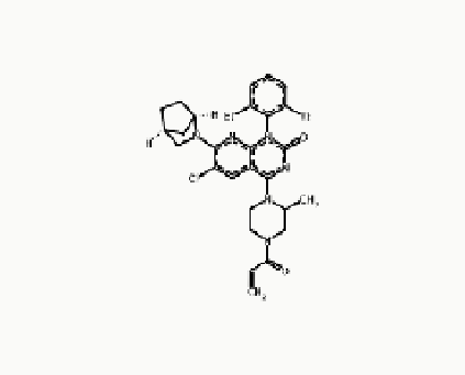 C=CC(=O)N1CCN(c2nc(=O)n(-c3c(CC)cccc3CC)c3nc(N4C[C@H]5CC[C@@H]4C5)c(Cl)cc23)[C@@H](C)C1